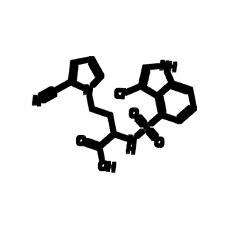 N#Cc1cccn1CCC(NS(=O)(=O)c1cccc2[nH]cc(Cl)c12)C(=O)O